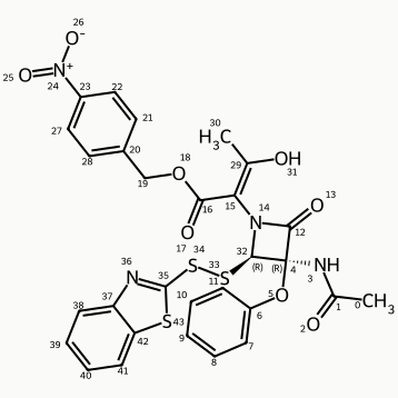 CC(=O)N[C@@]1(Oc2ccccc2)C(=O)N(C(C(=O)OCc2ccc([N+](=O)[O-])cc2)=C(C)O)[C@@H]1SSc1nc2ccccc2s1